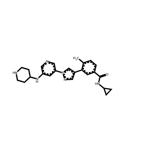 Cc1ccc(C(=O)NC2CC2)cc1-c1cnn(-c2cncc(NC3CCNCC3)c2)c1